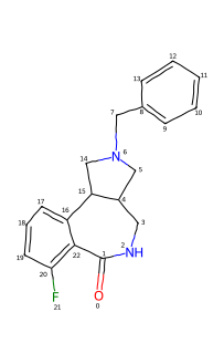 O=C1NCC2CN(Cc3ccccc3)CC2c2cccc(F)c21